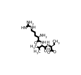 CC[C@H](NC(=O)[C@@H](NC(=O)[C@@H](N)CCCNC(=N)N)C(C)C)C(=O)O